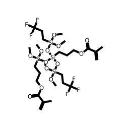 C=C(C)C(=O)OCCC[Si](OC)(OC)O[Si](CCCOC(=O)C(=C)C)(O[Si](CCC(F)(F)F)(OC)OC)O[Si](CCC(F)(F)F)(OC)OC